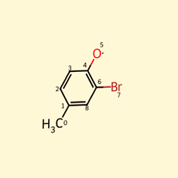 Cc1ccc([O])c(Br)c1